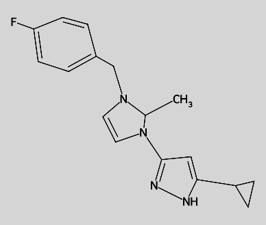 CC1N(Cc2ccc(F)cc2)C=CN1c1cc(C2CC2)[nH]n1